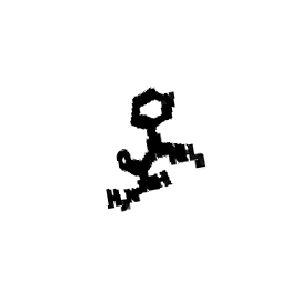 NNC(=O)N(N)c1cccnc1